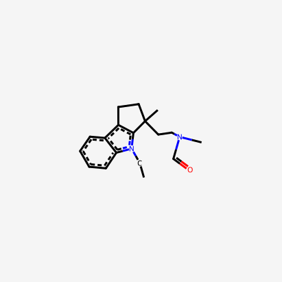 CCn1c2c(c3ccccc31)CCC2(C)CCN(C)C=O